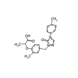 Cc1ccc(-n2cnn(Cc3ccc(OC(C)C(=O)O)c(C)c3)c2=O)cc1